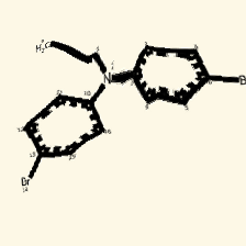 C=CN(c1ccc(Br)cc1)c1ccc(Br)cc1